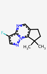 CC1(C)CCc2cnc3c(F)cnn3c21